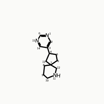 c1ncc(C2CCC3(CCCNC3)C2)cn1